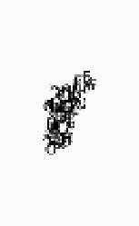 C[C@H]1CC[C@]2(C(=O)NCC(F)(F)F)CC[C@]3(C)[C@H](C(=O)C[C@@H]4[C@@]5(C)CCC(=O)C(C)(C)[C@@H]5CC[C@]43C)[C@@H]2C1